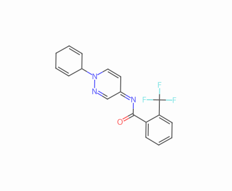 O=C(N=c1ccn(C2C=CCC=C2)nc1)c1ccccc1C(F)(F)F